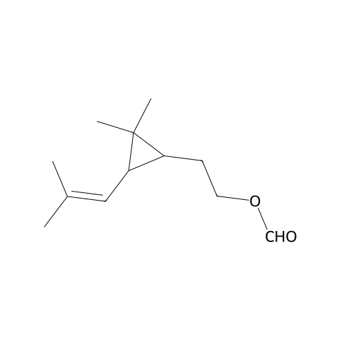 CC(C)=CC1C(CCOC=O)C1(C)C